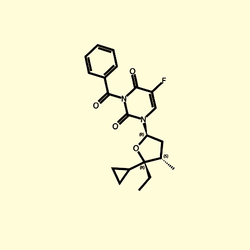 CC[C@@]1(C2CC2)O[C@@H](n2cc(F)c(=O)n(C(=O)c3ccccc3)c2=O)C[C@@H]1C